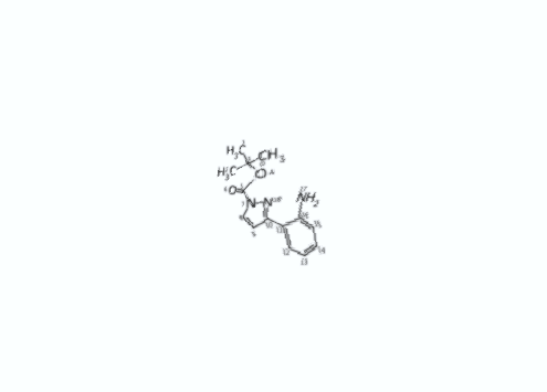 CC(C)(C)OC(=O)n1ccc(-c2ccccc2N)n1